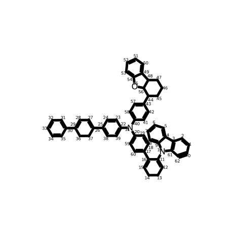 c1ccc2c3ccccc3n(C3=CCCC=C3c3ccc(N(c4ccc(C5=CC=C(c6ccccc6)CC5)cc4)c4ccc(C5CCCC6c7ccccc7OC56)cc4)cc3)c2c#1